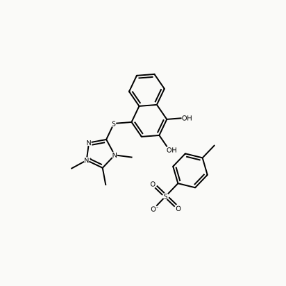 Cc1ccc(S(=O)(=O)[O-])cc1.Cc1n(C)c(Sc2cc(O)c(O)c3ccccc23)n[n+]1C